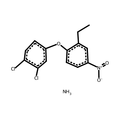 CCc1cc([N+](=O)[O-])ccc1Oc1ccc(Cl)c(Cl)c1.N